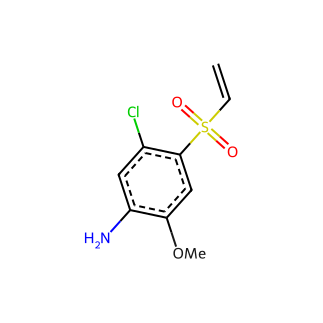 C=CS(=O)(=O)c1cc(OC)c(N)cc1Cl